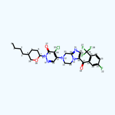 CCCCC1CCC(n2ncc(N3CCn4c(C(=O)c5cc(F)ccc5C(F)(F)F)cnc4C3)c(Cl)c2=O)OC1